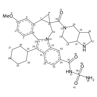 COc1ccc2c(c1)C1CC1(C(=O)N1CCC3NCCC3C1)Cn1c-2c(C2CCCCC2)c2ccc(C(=O)NS(N)(=O)=O)cc21